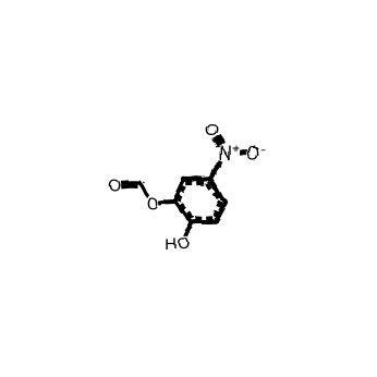 O=[C]Oc1cc([N+](=O)[O-])ccc1O